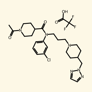 CC(=O)N1CCC(C(=O)N(CCCN2CCC(Cn3nccn3)CC2)c2cccc(Cl)c2)CC1.O=C(O)C(F)(F)F